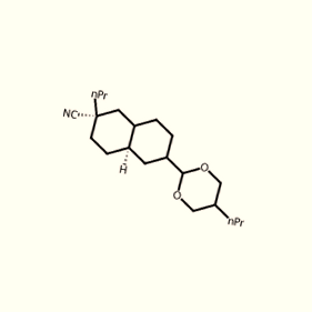 CCCC1COC(C2CCC3C[C@](C#N)(CCC)CC[C@@H]3C2)OC1